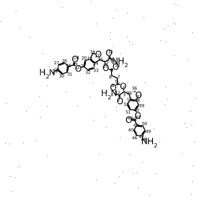 NC(=O)[C@@H](OC(=O)CCC(=O)O[C@H](C(N)=O)[C@H]1OCc2cc(OC(=O)c3ccc(N)cc3)ccc21)[C@@H]1COc2cc(OC(=O)c3ccc(N)cc3)ccc21